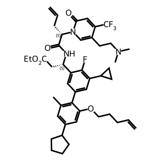 C=CCCCOc1cc(C2CCCC2)cc(C)c1-c1cc(C2CC2)c(F)c([C@H](CC(=O)OCC)NC(=O)[C@H](CC=C)n2cc(CCN(C)C)c(C(F)(F)F)cc2=O)c1